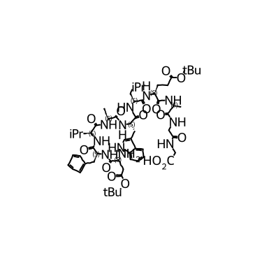 CC(C)C[C@H](NC(=O)[C@H](Cc1c[nH]c2ccccc12)NC(=O)[C@H](C)NC(=O)[C@@H](NC(=O)[C@H](Cc1ccccc1)NC(=O)[C@@H](N)CC(=O)OC(C)(C)C)C(C)C)C(=O)N[C@@H](CCC(=O)OC(C)(C)C)C(=O)N[C@@H](C)C(=O)NCC(=O)NCC(=O)O